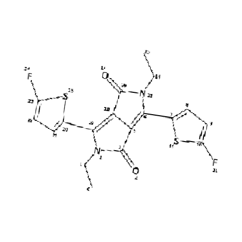 CCN1C(=O)C2=C(c3ccc(F)s3)N(CC)C(=O)C2=C1c1ccc(F)s1